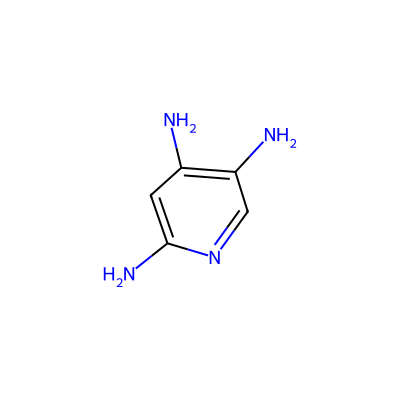 Nc1cc(N)c(N)cn1